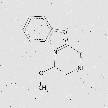 COC1CNCc2cc3ccccc3n21